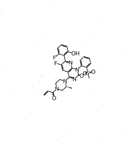 C=CC(=O)N1CCN(c2nc(=O)n(-c3ccccc3S(C)(=O)=O)c3nc(-c4c(O)cccc4F)c(F)cc23)[C@@H](C)C1